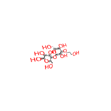 OCCCO[C@@H]1[C@@H](O)[C@@H](O[C@H]2[C@H](O)[C@@H](O)[C@H](O)O[C@@H]2CO)O[C@H](CO)[C@H]1O